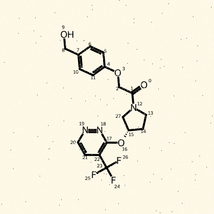 O=C(COc1ccc(CO)cc1)N1CC[C@H](Oc2nnccc2C(F)(F)F)C1